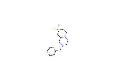 FC1(F)CCN2CCN(Cc3ccccc3)CC2C1